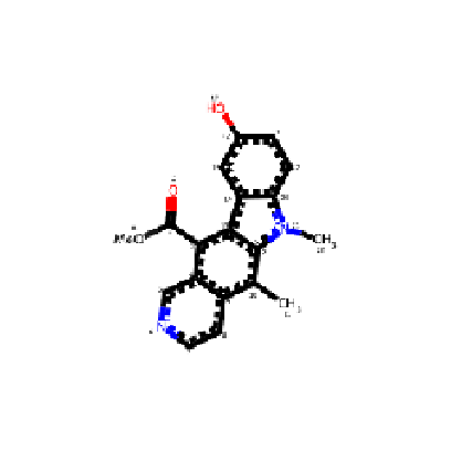 COC(=O)c1c2cnccc2c(C)c2c1c1cc(O)ccc1n2C